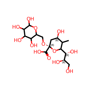 CC1C([C@H](O)[C@H](O)CO)O[C@@](OCC2OC(O)C(O)C(O)C2O)(C(=O)O)C[C@H]1O